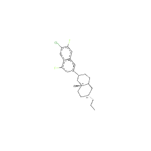 CCC[C@@H]1CC[C@@H]2CC(c3cc(F)c4cc(Cl)c(F)cc4c3)CCC2C1